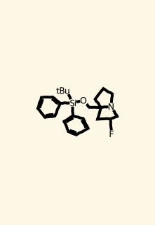 CC(C)(C)[Si](OCC12CCCN1CC(F)C2)(c1ccccc1)c1ccccc1